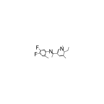 CCC1C(C)=CC(/C(C)=N/c2cc(F)c(F)cc2C)=CN1C